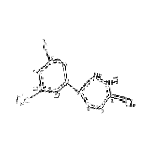 O=c1ccc(-c2cc(Cl)cc(C(F)(F)F)c2)n[nH]1